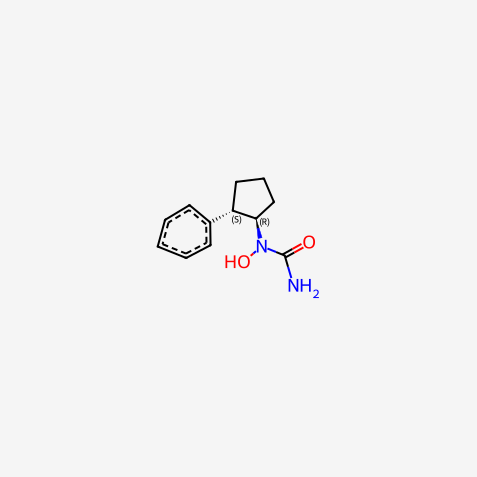 NC(=O)N(O)[C@@H]1CCC[C@H]1c1ccccc1